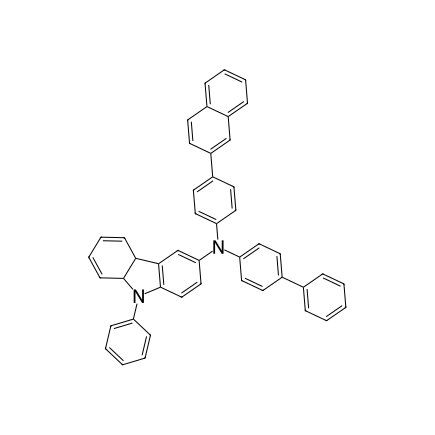 C1=CC2c3cc(N(c4ccc(-c5ccccc5)cc4)c4ccc(-c5ccc6ccccc6c5)cc4)ccc3N(c3ccccc3)C2C=C1